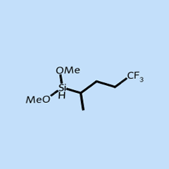 CO[SiH](OC)C(C)CCC(F)(F)F